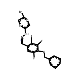 Fc1cc(/C=N\Nc2cnc(Br)cn2)c(I)c(F)c1OCc1ccccc1